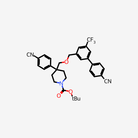 [C-]#[N+]c1ccc(C2(COCc3cc(-c4ccc(C#N)cc4)cc(C(F)(F)F)c3)CCN(C(=O)OC(C)(C)C)CC2)cc1